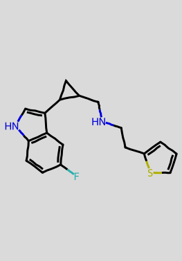 Fc1ccc2[nH]cc(C3CC3CNCCc3cccs3)c2c1